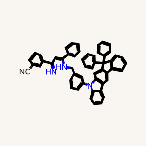 N#Cc1cccc(C(=N)/C=C(\NCc2cccc(-n3c4ccccc4c4cc5c(cc43)C(c3ccccc3)(c3ccccc3)c3ccccc3-5)c2)c2ccccc2)c1